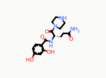 NC(=O)CC[C@H](NC(=O)c1ccc(O)cc1O)C(=O)N1CCNCC1